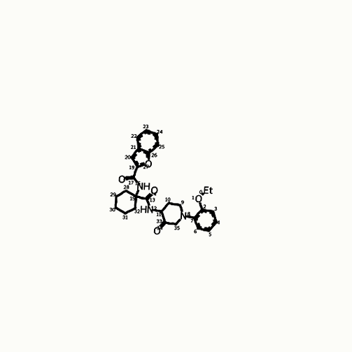 CCOc1ccccc1N1CCC(NC(=O)C2(NC(=O)c3cc4ccccc4o3)CCCCC2)C(=O)C1